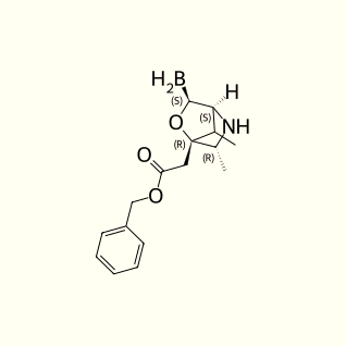 B[C@@H]1O[C@]2(CC(=O)OCc3ccccc3)C(C)[C@@H]1N[C@@H]2C